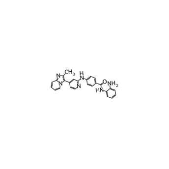 Cc1nc2ccccn2c1-c1ccnc(Nc2ccc(C(=O)Nc3ccccc3N)cc2)c1